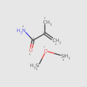 C=C(C)C(N)=O.[SiH3]O[SiH3]